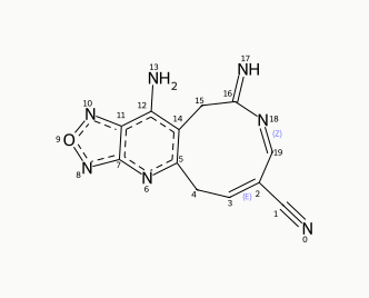 N#CC1=C/Cc2nc3nonc3c(N)c2CC(=N)/N=C\1